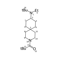 CCN(C1CCC2(CC1)CCN(C(=O)C(C)(C)C)CC2)C(C)(C)C